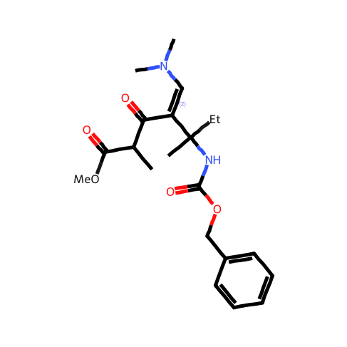 CCC(C)(NC(=O)OCc1ccccc1)/C(=C/N(C)C)C(=O)C(C)C(=O)OC